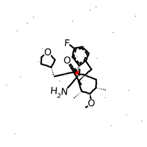 CO[C@H]1[C@H](C)C[C@@]2(Cc3ccc(F)cc3[C@]23N=C(N)N(C[C@@H]2CCOC2)C3=O)C[C@@H]1C